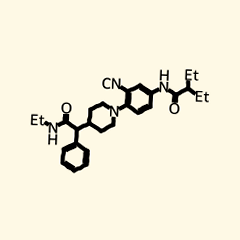 [C-]#[N+]c1cc(NC(=O)C(CC)CC)ccc1N1CCC(C(C(=O)NCC)c2ccccc2)CC1